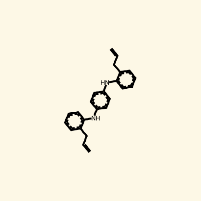 C=CCc1ccccc1Nc1ccc(Nc2ccccc2CC=C)cc1